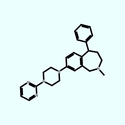 CN1CCC(c2ccccc2)c2ccc(N3CCN(c4ncccn4)CC3)cc2C1